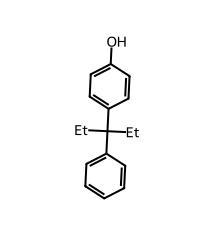 CCC(CC)(c1ccccc1)c1ccc(O)cc1